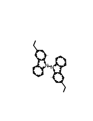 CCc1c[c]c2c(c1)c1ccccc1n2-n1c2[c]cc(CC)cc2c2ccccc21